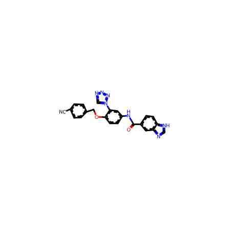 N#Cc1ccc(COc2ccc(NC(=O)c3ccc4[nH]cnc4c3)cc2-n2cnnn2)cc1